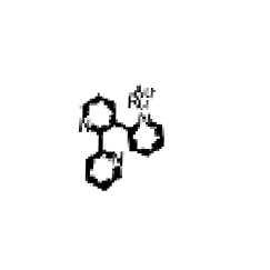 [Au].[Ru].c1ccc(-c2cccnc2-c2ccccn2)nc1